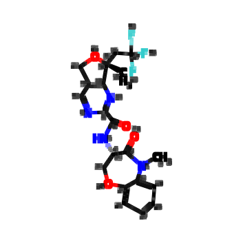 CN1C(=O)[C@@H](NC(=O)c2ncc3c(n2)[C@@](C)(CC(F)(F)F)OC3)COc2ccccc21